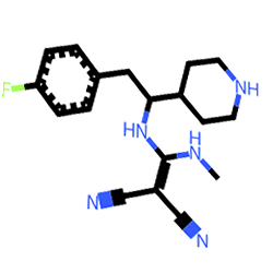 CNC(NC(Cc1ccc(F)cc1)C1CCNCC1)=C(C#N)C#N